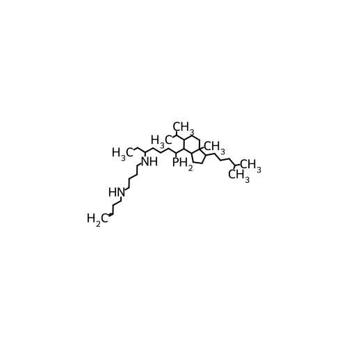 C=CCCNCCCCNC(CC)CCCC(P)C1C(C(C)C)CCC2(C)C(CCCC(C)C)CCC12